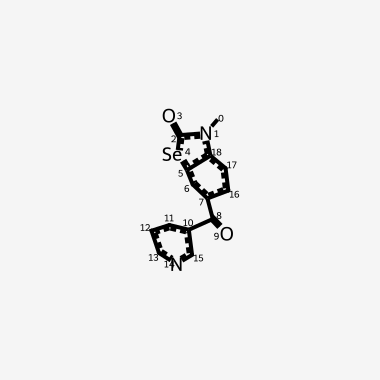 Cn1c(=O)[se]c2cc(C(=O)c3cccnc3)ccc21